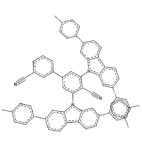 Cc1ccc(-c2ccc3c4ccc(-c5ccc(C)cc5)cc4n(-c4cc(-c5cccc(C#N)c5)cc(-n5c6cc(-c7ccc(C)cc7)ccc6c6ccc(-c7ccc(C)cc7)cc65)c4C#N)c3c2)cc1